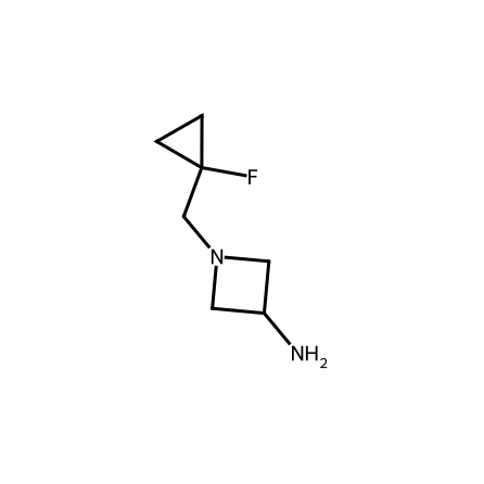 NC1CN(CC2(F)CC2)C1